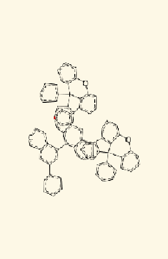 c1ccc(-c2cc(-c3c4cccc(-c5cccc6c5C(c5ccccc5)(c5ccccc5)c5ccccc5O6)c4cc4c(-c5cccc6c5C(c5ccccc5)(c5ccccc5)c5ccccc5O6)cccc34)c3ccccc3c2)cc1